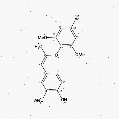 COc1cc(C=C(C)Oc2c(OC)cc(C(C)=O)cc2OC)ccc1O